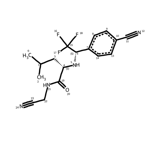 CC(C)C[C@H](N[C@@H](c1ccc(C#N)cc1)C(F)(F)F)C(=O)NCC#N